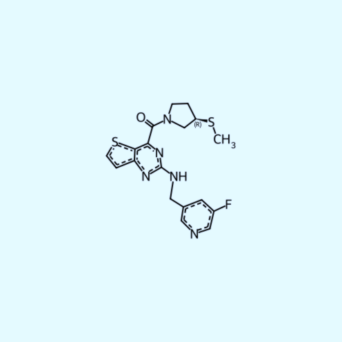 CS[C@@H]1CCN(C(=O)c2nc(NCc3cncc(F)c3)nc3ccsc23)C1